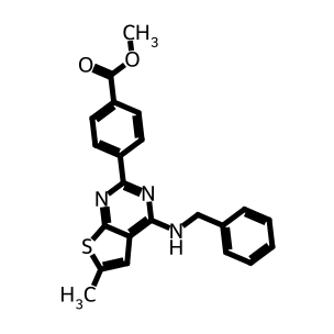 COC(=O)c1ccc(-c2nc(NCc3ccccc3)c3cc(C)sc3n2)cc1